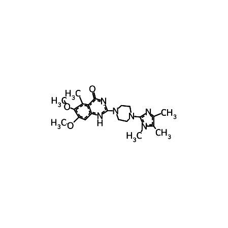 COc1cc2[nH]c(N3CCN(c4nc(C)c(C)n4C)CC3)nc(=O)c2c(C)c1OC